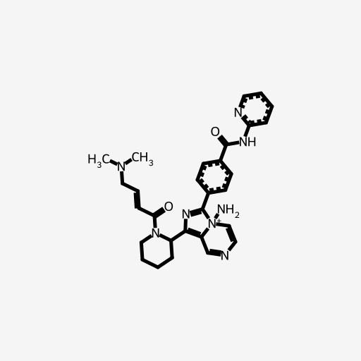 CN(C)C/C=C/C(=O)N1CCCCC1C1=C2C=NC=C[N+]2(N)C(c2ccc(C(=O)Nc3ccccn3)cc2)=N1